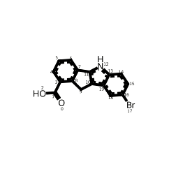 O=C(O)c1cccc2c1Cc1c-2[nH]c2ccc(Br)cc12